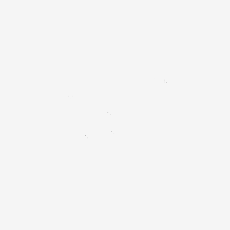 CCNC(=O)c1ccc(-c2cnc3c(NCCC(F)(F)F)cc(C(C)O)cn23)cc1C